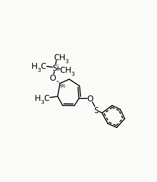 CC1C=CC(OSc2ccccc2)=CC[C@H]1O[Si](C)(C)C